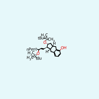 CCCCCC(/C=C/[C@@H]1[C@H]2Cc3cccc(O)c3C[C@H]2C[C@H]1O[Si](C)(C)C(C)(C)C)O[Si](C)(C)C(C)(C)C